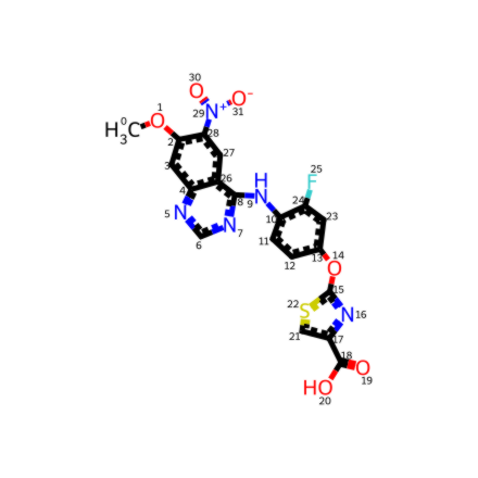 COc1cc2ncnc(Nc3ccc(Oc4nc(C(=O)O)cs4)cc3F)c2cc1[N+](=O)[O-]